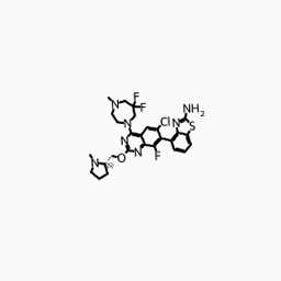 CN1CCN(c2nc(OC[C@@H]3CCCN3C)nc3c(F)c(-c4cccc5sc(N)nc45)c(Cl)cc23)CC(F)(F)C1